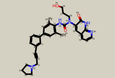 CC(C)c1cc(-c2cccc(C#CCN3CCCC3)c2)cc(C(C)C)c1NC(=O)N(CCCO)c1cc2cccnc2[nH]c1=O